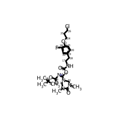 CN1CN(/C(=N\C(=O)OC(C)(C)C)OC(=O)NCCc2ccc(OCCCCl)c(F)c2)CN(C)C1=O